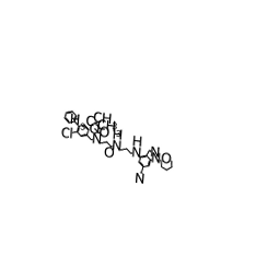 CC(C)(C)OC(=O)N(CCC(=O)NCCCNc1cc(C#N)cc2c1cnn2C1CCCCO1)Cc1ccc(-c2ccccc2)c(Cl)c1